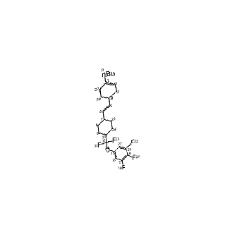 CCCCC1=CCC(/C=C/C2CCC(C(F)(F)Oc3cc(F)c(F)c(F)c3)CC2)CC1